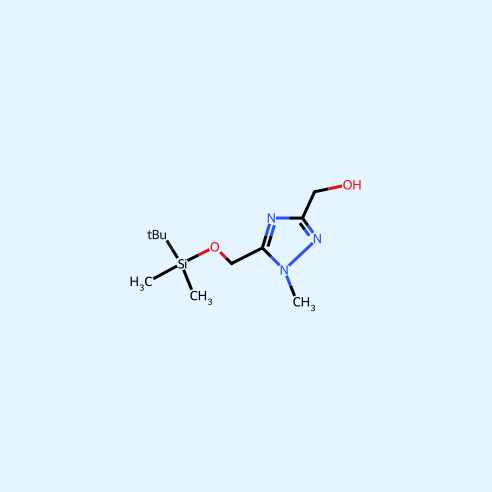 Cn1nc(CO)nc1CO[Si](C)(C)C(C)(C)C